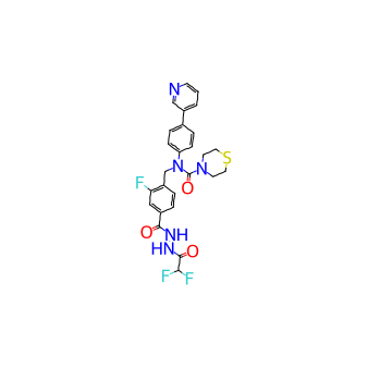 O=C(NNC(=O)C(F)F)c1ccc(CN(C(=O)N2CCSCC2)c2ccc(-c3cccnc3)cc2)c(F)c1